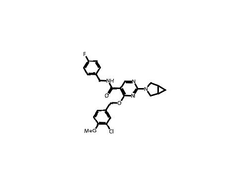 COc1ccc(COc2nc(N3CC4CC4C3)ncc2C(=O)NCc2ccc(F)cc2)cc1Cl